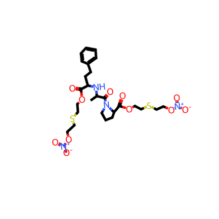 CC(NC(CCc1ccccc1)C(=O)OCCSCCO[N+](=O)[O-])C(=O)N1CCCC1C(=O)OCCSCCO[N+](=O)[O-]